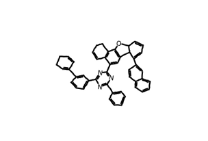 C1=CC2Oc3c(cc(-c4nc(-c5ccccc5)nc(-c5cccc(C6=CCCC=C6)c5)n4)c4c3CCC=C4)C2C(c2ccc3ccccc3c2)=C1